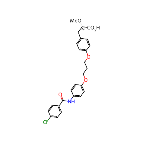 CO[C@@H](Cc1ccc(OCCCOc2ccc(NC(=O)c3ccc(Cl)cc3)cc2)cc1)C(=O)O